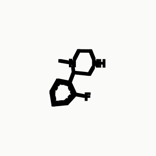 CN1CCNCC1c1ccccc1F